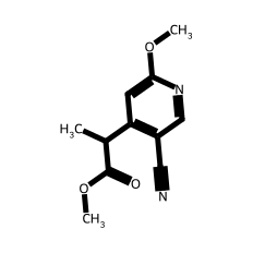 COC(=O)C(C)c1cc(OC)ncc1C#N